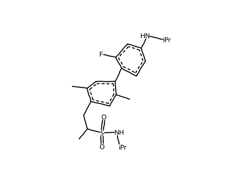 Cc1cc(-c2ccc(NC(C)C)cc2F)c(C)cc1CC(C)S(=O)(=O)NC(C)C